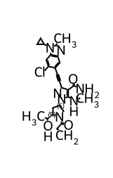 C=CC(=O)N1C[C@@H](n2nc(C#Cc3cc4nc(C)n(C5CC5)c4cc3Cl)c(C(N)=O)c2NC)C[C@@H]1C(C)O